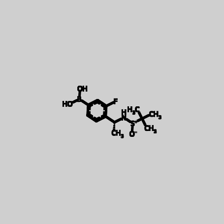 C[C@@H](N[S+]([O-])C(C)(C)C)c1ccc(B(O)O)cc1F